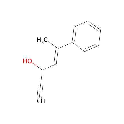 C#CC(O)C=C(C)c1ccccc1